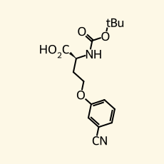 CC(C)(C)OC(=O)N[C@@H](CCOc1cccc(C#N)c1)C(=O)O